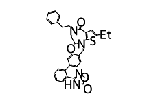 CCc1cc2c(s1)N(Cc1ccc(-c3ccccc3-c3noc(=O)[nH]3)cc1)C(=O)CN(CCc1ccccc1)C2=O